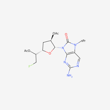 CCCn1c(=O)n([C@@H]2O[C@H](C(CF)OC(C)=O)C[C@H]2OC(C)=O)c2nc(N)ncc21